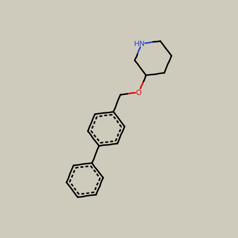 c1ccc(-c2ccc(COC3CCCNC3)cc2)cc1